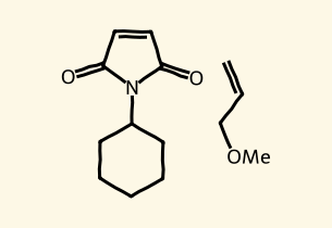 C=CCOC.O=C1C=CC(=O)N1C1CCCCC1